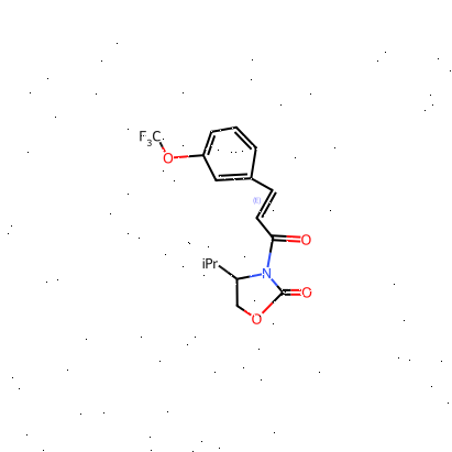 CC(C)C1COC(=O)N1C(=O)/C=C/c1cccc(OC(F)(F)F)c1